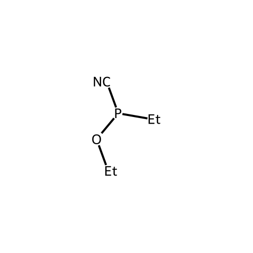 CCOP(C#N)CC